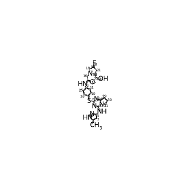 Cc1cc(Nc2nc(Sc3ccc(NC(=O)CN4C[C@H](F)C[C@H]4CO)cc3)nc3cccn23)n[nH]1